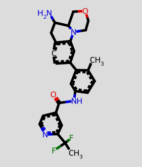 Cc1ccc(NC(=O)c2ccnc(C(C)(F)F)c2)cc1-c1ccc2c(c1)N1CCOCC1C(N)C2